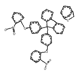 O=[N+]([O-])c1ccccc1Oc1ccc(C2(c3ccc(Oc4ccccc4[N+](=O)[O-])cc3)c3ccccc3-c3ccccc32)cc1.c1cc2cc(c1)OC2